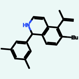 C=C(C)c1c(C(C)CC)ccc2c1C=CNC2c1cc(C)cc(C)c1